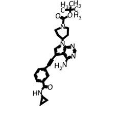 CC(C)(C)OC(=O)N1CCC(n2cc(C#Cc3cccc(C(=O)NC4CC4)c3)c3c(N)ncnc32)CC1